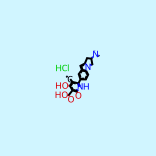 CCc1c(-c2ccc3c(c2)cc2n3CC(N(C)C)C2)[nH]c(=O)c(C(=O)O)c1O.Cl